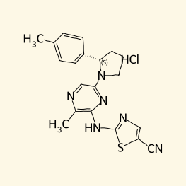 Cc1ccc([C@@H]2CCCN2c2cnc(C)c(Nc3ncc(C#N)s3)n2)cc1.Cl